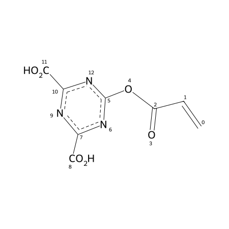 C=CC(=O)Oc1nc(C(=O)O)nc(C(=O)O)n1